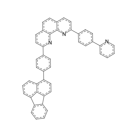 c1ccc(-c2ccc(-c3ccc4ccc5ccc(-c6ccc(-c7ccc8c9c(cccc79)-c7ccccc7-8)cc6)nc5c4n3)cc2)nc1